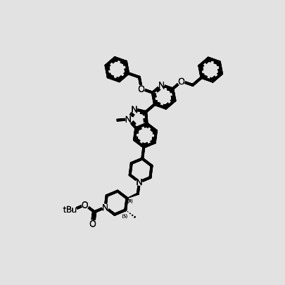 C[C@@H]1CN(C(=O)OC(C)(C)C)CC[C@H]1CN1CCC(c2ccc3c(-c4ccc(OCc5ccccc5)nc4OCc4ccccc4)nn(C)c3c2)CC1